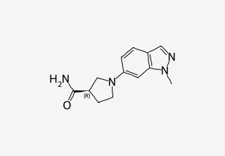 Cn1ncc2ccc(N3CC[C@@H](C(N)=O)C3)cc21